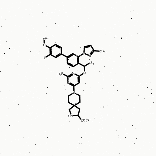 CCCCOc1ccc(-c2ccc(C(Oc3cc(N4CCC5(CC4)CNC(C(=O)O)C5)nc(N)n3)C(F)(F)F)c(-n3ccc(C)n3)c2)cc1F